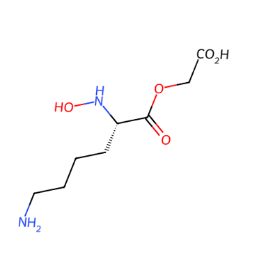 NCCCC[C@H](NO)C(=O)OCC(=O)O